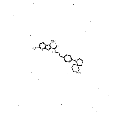 Cc1ccc2c(N)c(C(=O)NCCc3ccc(N4CCCC45CCCNC5)cc3)sc2n1